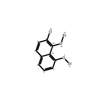 CCOc1cccc2ccc(Cl)c(OCC)c12